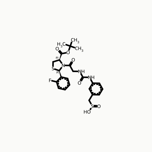 CC(C)(C)OC(=O)[C@@H]1CS[C@H](c2ccccc2F)N1C(=O)CNC(=O)Nc1cccc(CS(=O)O)c1